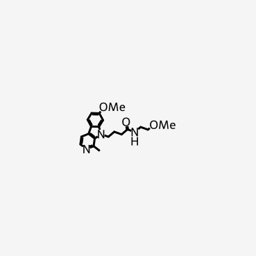 COCCNC(=O)CCCn1c2cc(OC)ccc2c2ccnc(C)c21